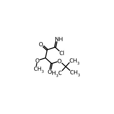 COC(C(=O)OC(C)(C)C)C(=O)C(=N)Cl